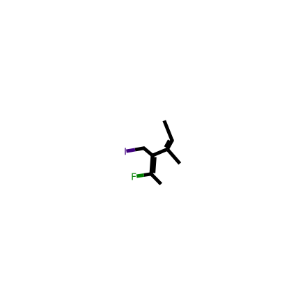 C/C=C(C)\C(CI)=C(/C)F